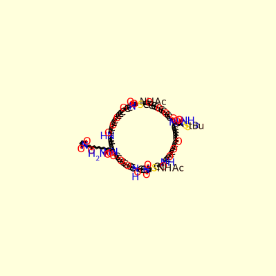 CC(=O)NC1CC(=O)CCCOCCOCCC(=O)NC(C(=O)CC(CSSC(C)(C)C)C(N)=O)CCCCCC(=O)CCOCCOCCNC(=O)C(NC(C)=O)CSC2CC(=O)N(CCC(=O)NCCOCCOCCC(=O)NC(C(=O)CC(CCCCCC(=O)CCN3C(=O)C=CC3=O)C(N)=O)CCCCNC(=O)CCOCCOCCCC(=O)CCN3C(=O)CC(S1)C3=O)C2=O